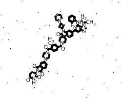 Cc1cc(C(=O)N2CCC3(CC2)C(=O)N(C2CC(N4CCCCC4)C2)c2cc(-c4cc5ncn(C(C)C)c5c(Nc5ccccc5F)n4)ccc23)ccc1C(=O)N1CCN(c2ccc3c(c2)C(=O)N([C@@H]2CCC(=O)NC2=O)C3=O)CC1